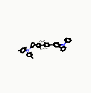 COc1cc(-c2cccc(N(c3ccc(C)cc3)c3ccc(C)cc3)c2)ccc1-c1ccc(-c2ccc3c(c2)c2ccccc2n3-c2ccccc2)cc1C=O